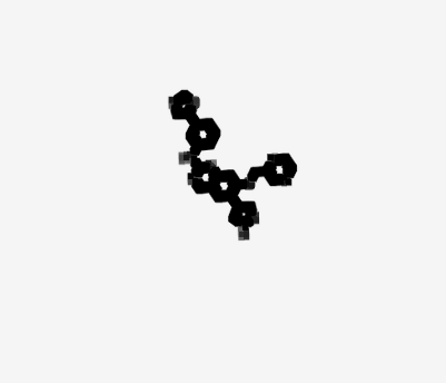 c1cc(Nc2ncc3cc(-c4cn[nH]c4)c(OCc4cnccn4)cc3n2)cc(-c2cnco2)c1